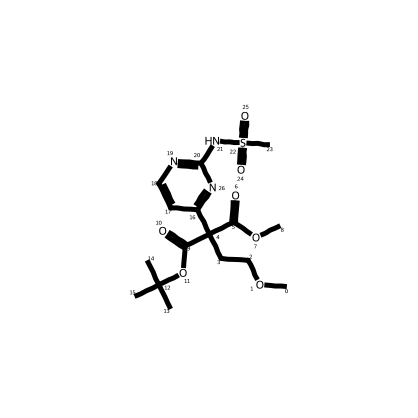 COCCC(C(=O)OC)(C(=O)OC(C)(C)C)c1ccnc(NS(C)(=O)=O)n1